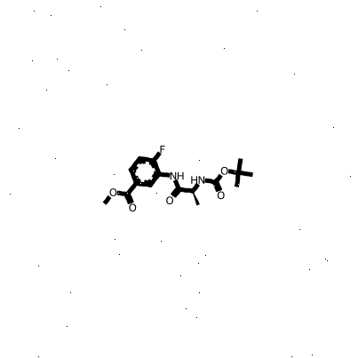 COC(=O)c1ccc(F)c(NC(=O)[C@H](C)NC(=O)OC(C)(C)C)c1